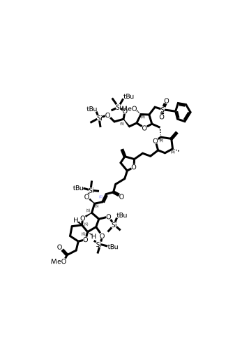 C=C1CC(CCC(=O)/C=C/[C@H](O[Si](C)(C)C(C)(C)C)[C@@H]2O[C@H]3CCC(CC(=O)OC)O[C@@H]3C(O[Si](C)(C)C(C)(C)C)C2O[Si](C)(C)C(C)(C)C)OC1CCC1C[C@@H](C)C(=C)[C@@H](CC2OC(C[C@@H](CO[Si](C)(C)C(C)(C)C)O[Si](C)(C)C(C)(C)C)[C@H](OC)C2CS(=O)(=O)c2ccccc2)O1